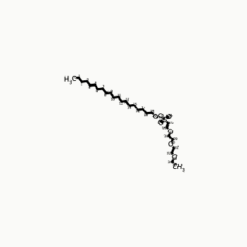 CCCCCCCCCCCCCCCCCCCCOOS(=O)(=O)CCOCCOCCOCC